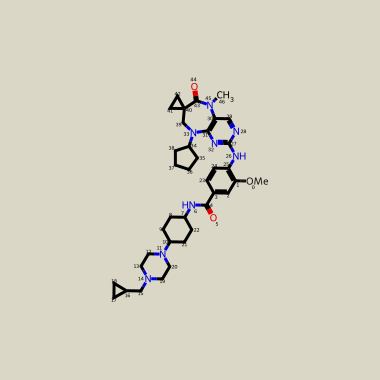 COc1cc(C(=O)NC2CCC(N3CCN(CC4CC4)CC3)CC2)ccc1Nc1ncc2c(n1)N(C1CCCC1)CC1(CC1)C(=O)N2C